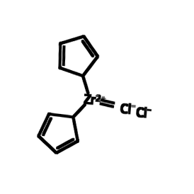 [CH2]=[Zr+2]([CH]1C=CC=C1)[CH]1C=CC=C1.[Cl-].[Cl-]